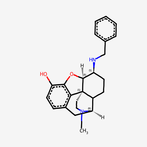 CN1CC[C@]23c4c5ccc(O)c4O[C@H]2[C@@H](NCc2ccccc2)CCC3[C@H]1C5